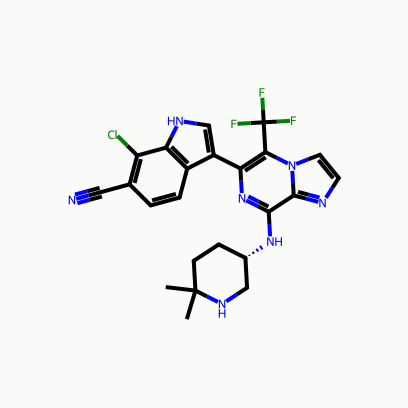 CC1(C)CC[C@H](Nc2nc(-c3c[nH]c4c(Cl)c(C#N)ccc34)c(C(F)(F)F)n3ccnc23)CN1